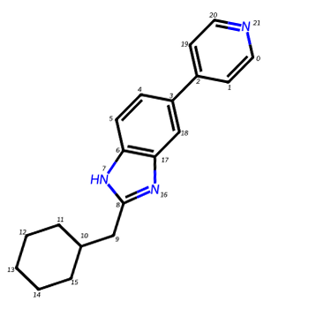 c1cc(-c2ccc3[nH]c(CC4CCCCC4)nc3c2)ccn1